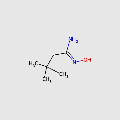 CC(C)(C)CC(N)=NO